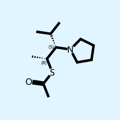 CC(=O)S[C@H](C)[C@H](C(C)C)N1CCCC1